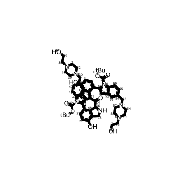 CC(C)(C)OC(=O)n1c(-c2ccc(O)c3c2C(C(=O)C2NCc4c(O)ccc(-c5cc6cc(CN7CCN(CCO)CC7)ccc6n5C(=O)OC(C)(C)C)c42)NC3)cc2cc(CN3CCN(CCO)CC3)ccc21